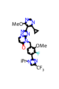 COc1ncnc(C2CC2)c1-c1nc2n(Cc3ccc(-c4nc(C(F)(F)F)cn4C(C)C)c(F)c3OC)c(=O)ccn2n1